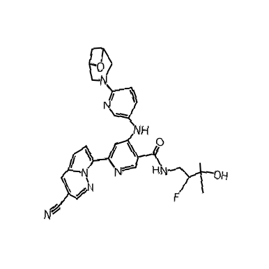 CC(C)(O)C(F)CNC(=O)c1cnc(-c2ccc3cc(C#N)cnn23)cc1Nc1ccc(N2CC3CC(C2)O3)nc1